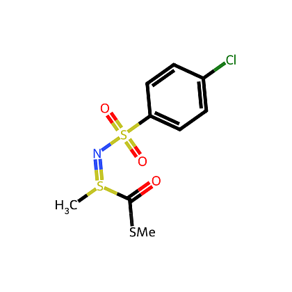 CSC(=O)S(C)=NS(=O)(=O)c1ccc(Cl)cc1